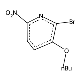 CCCCOc1ccc([N+](=O)[O-])nc1Br